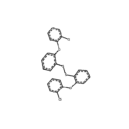 Clc1ccccc1Oc1ccccc1SSc1ccccc1Oc1ccccc1Cl